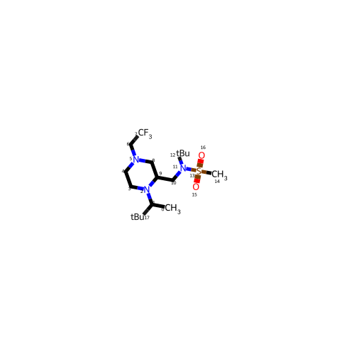 CC(N1CCN(CC(F)(F)F)CC1CN(C(C)(C)C)S(C)(=O)=O)C(C)(C)C